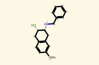 COc1ccc2c(c1)C[C@@H](NCc1ccccc1)CC2.Cl